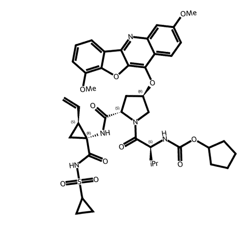 C=C[C@@H]1C[C@]1(NC(=O)[C@@H]1C[C@@H](Oc2c3ccc(OC)cc3nc3c2oc2c(OC)cccc23)CN1C(=O)[C@@H](NC(=O)OC1CCCC1)C(C)C)C(=O)NS(=O)(=O)C1CC1